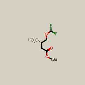 CC(C)(C)OC(=O)C[C@@H](COC(F)F)C(=O)O